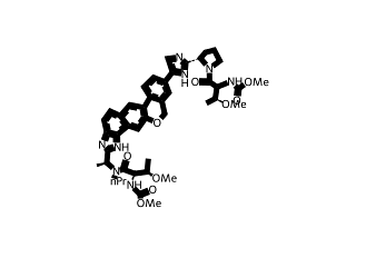 CCCN(C(=O)[C@@H](NC(=O)OC)[C@@H](C)OC)[C@@H](C)c1nc2ccc3cc4c(cc3c2[nH]1)OCc1cc(-c2cnc([C@@H]3CCCN3C(=O)C(NC(=O)OC)[C@@H](C)OC)[nH]2)ccc1-4